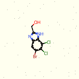 OCc1nc2cc(Br)c(Cl)c(Cl)c2[nH]1